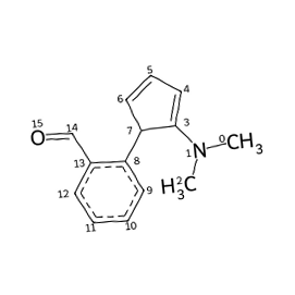 CN(C)C1=CC=CC1c1ccccc1C=O